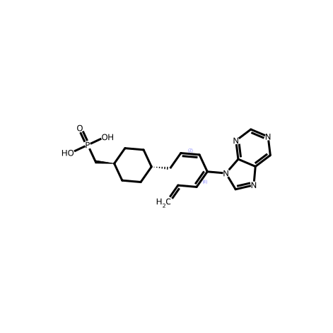 C=C/C=C(\C=C/C[C@H]1CC[C@H](CP(=O)(O)O)CC1)n1cnc2cncnc21